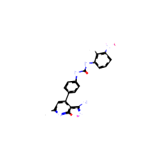 Cc1cc(-c2ccc(NC(=O)Nc3cccc([N+](=O)[O-])c3C)cc2)c2c(N)noc2n1